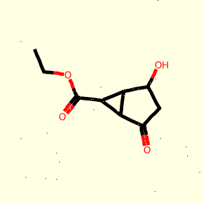 CCOC(=O)C1C2C(=O)CC(O)C21